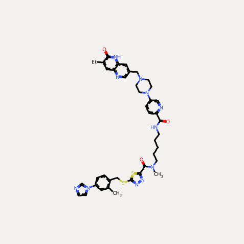 CCc1cc2ncc(CN3CCN(c4ccc(C(=O)NCCCCCN(C)C(=O)c5nnc(SCc6ccc(-n7ccnc7)cc6C)s5)nc4)CC3)cc2[nH]c1=O